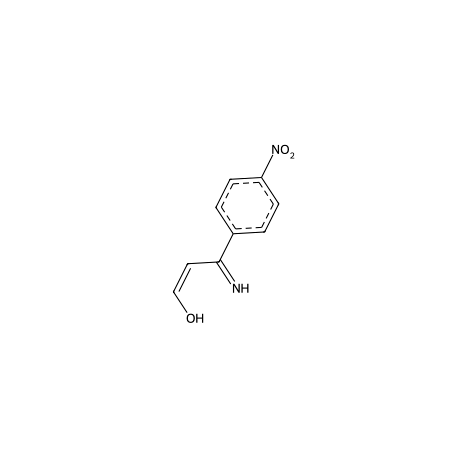 N=C(/C=C\O)c1ccc([N+](=O)[O-])cc1